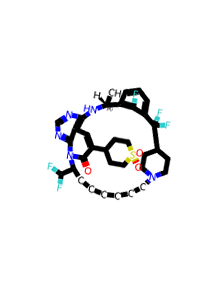 C[C@H]1Nc2ncnc3c2cc(C2CCS(=O)(=O)CC2)c(=O)n3C(C(F)F)CCCCCCN2CCC(CC2)C(F)(F)c2cccc1c2F